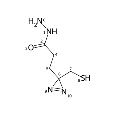 NNC(=O)CCC1(CS)N=N1